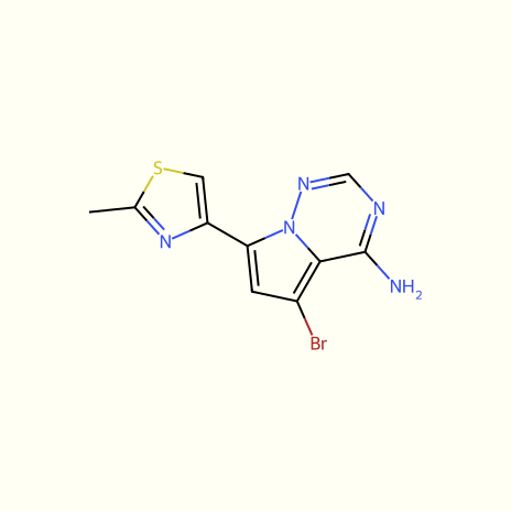 Cc1nc(-c2cc(Br)c3c(N)ncnn23)cs1